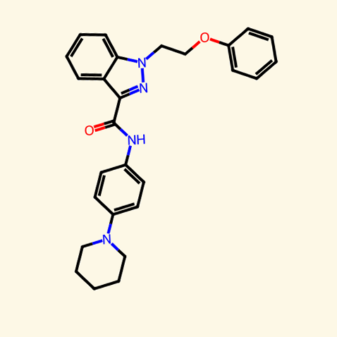 O=C(Nc1ccc(N2CCCCC2)cc1)c1nn(CCOc2ccccc2)c2ccccc12